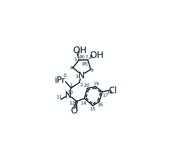 CC(C)C(CN1C[C@@H](O)[C@H](O)C1)N(C)C(=O)c1ccc(Cl)cc1